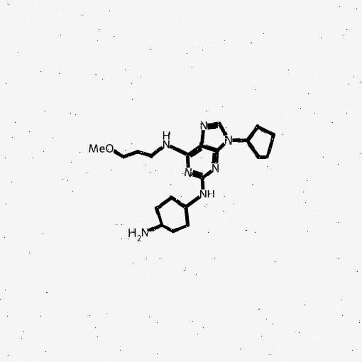 COCCCNc1nc(NC2CCC(N)CC2)nc2c1ncn2C1CCCC1